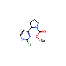 CC(C)(C)OC(=O)N1CCCC1c1ccnc(Cl)n1